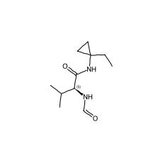 CCC1(NC(=O)[C@@H](NC=O)C(C)C)CC1